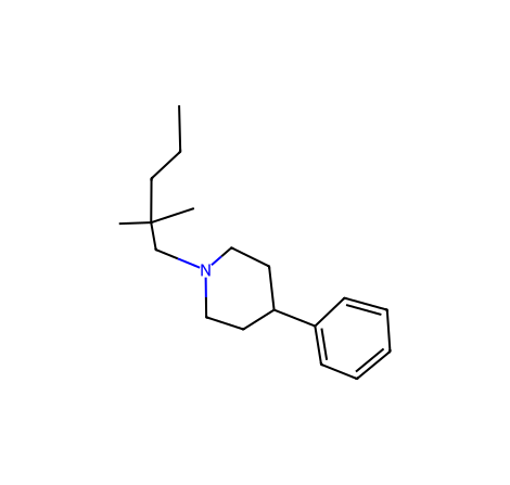 CCCC(C)(C)CN1CCC(c2ccccc2)CC1